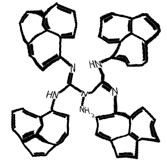 NN(C(=Nc1ccc2c3c(cccc13)C=C2)Nc1ccc2c3c(cccc13)C=C2)C(=Nc1ccc2c3c(cccc13)C=C2)Nc1ccc2c3c(cccc13)C=C2